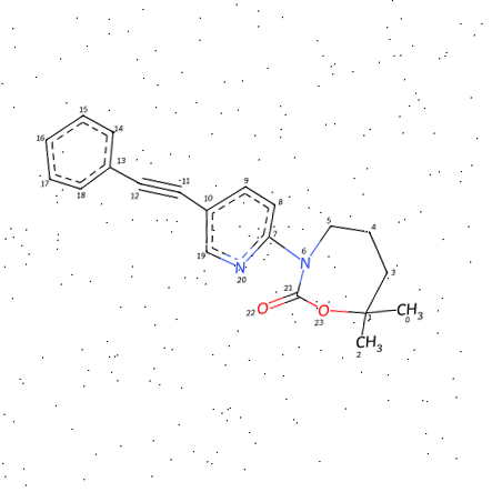 CC1(C)CCCN(c2ccc(C#Cc3ccccc3)cn2)C(=O)O1